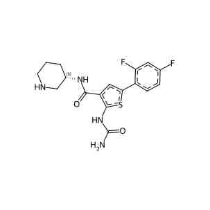 NC(=O)Nc1sc(-c2ccc(F)cc2F)cc1C(=O)N[C@H]1CCCNC1